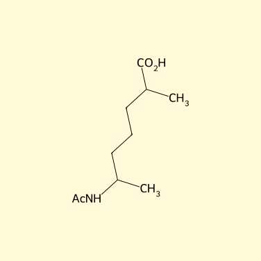 CC(=O)NC(C)CCCC(C)C(=O)O